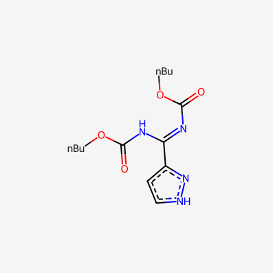 CCCCOC(=O)N=C(NC(=O)OCCCC)c1cc[nH]n1